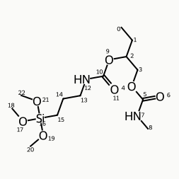 CCC(COC(=O)NC)OC(=O)NCCC[Si](OC)(OC)OC